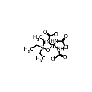 CC[Si](CC)(CC)[O][Zn]([NH]C(=O)Cl)([NH]C(=O)Cl)[NH]C(=O)Cl